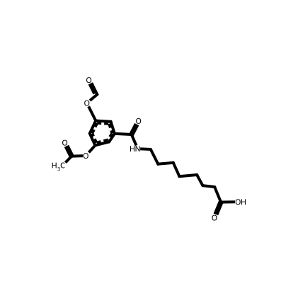 CC(=O)Oc1cc(OC=O)cc(C(=O)NCCCCCCCC(=O)O)c1